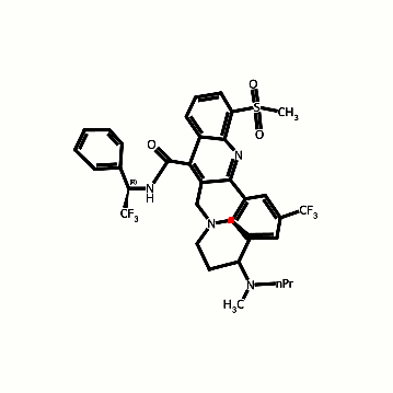 CCCN(C)C1CCN(Cc2c(-c3cccc(C(F)(F)F)c3)nc3c(S(C)(=O)=O)cccc3c2C(=O)N[C@H](c2ccccc2)C(F)(F)F)CC1